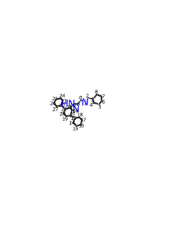 C(=N\Cc1ccccc1)/c1nc2c(-c3ccccc3)ccc(-c3ccccc3)c2[nH]1